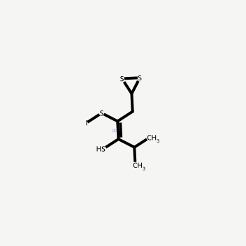 CC(C)/C(S)=C(\CC1SS1)SI